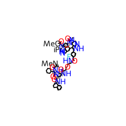 CN[C@@H](C)C(=O)N[C@H](C(=O)N1C[C@@H](NC(=O)CCOCCNC(=O)c2ccc(-c3[nH]c4ncc5c(c4c3-c3ccc4c(cnn4C(C)C)c3)n([C@@H]3CC[C@@H](NC(=O)OC)C3)c(=O)n5C)cc2F)C[C@H]1C(=O)N[C@@H]1CCCc2ccccc21)C1CCCCC1